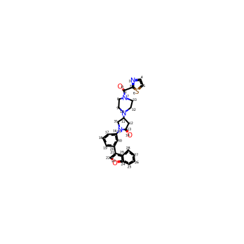 O=C(c1nccs1)N1CCN(C2CC(=O)N(c3cccc(-c4coc5ccccc45)c3)C2)CC1